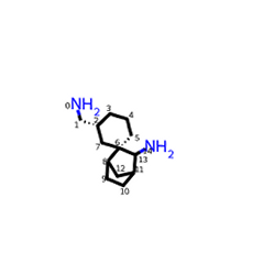 NC[C@@H]1CCC[C@@]2(C1)C1CCC(C1)C2N